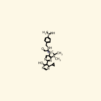 CC(C)N(C)c1nc(-c2c(O)ncnc2C2CC2)ncc1/N=C(\C=O)NCc1ccc(S(C)=N)cc1